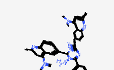 Cc1cc(N(C)C)c2cc(C3=NC(c4ccc5nc(C)cc(N(C)C)c5c4)N(N)C(c4ccccc4)=N3)ccc2n1